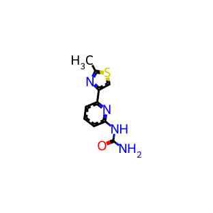 Cc1nc(-c2cccc(NC(N)=O)n2)cs1